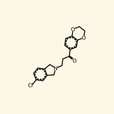 O=C(CCN1Cc2ccc(Cl)cc2C1)c1ccc2c(c1)OCCO2